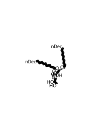 CCCCCCCCCCCCCCCCCC/C=C\OC[C@H](COP(=O)(O)OC[C@@H](O)CO)OC(=O)CCCCCCCCCCCCCCCCCCC